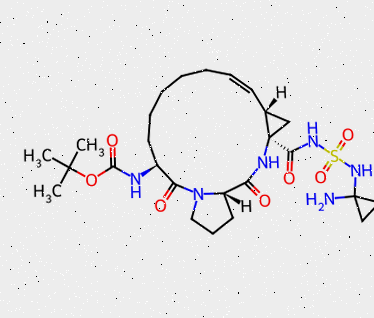 CC(C)(C)OC(=O)N[C@H]1CCCCC/C=C\[C@@H]2C[C@@]2(C(=O)NS(=O)(=O)NC2(N)CC2)NC(=O)[C@@H]2CCCN2C1=O